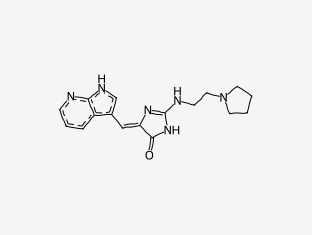 O=C1NC(NCCN2CCCC2)=NC1=Cc1c[nH]c2ncccc12